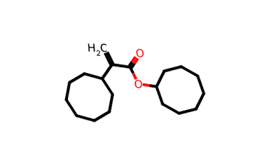 C=C(C(=O)OC1CCCCCCC1)C1CCCCCCC1